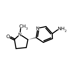 CN1C(=O)CC[C@H]1c1ccc(N)cn1